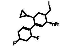 CCC[C@H]1C=C(C2=CC[C@H](F)C[C@@H]2F)[C@@H](C2CC2)CC1CI